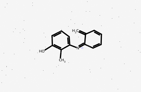 C=C1C=CC=C/C1=N/c1cccc(O)c1C